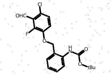 CC(C)(C)OC(=O)Nc1ccccc1COc1ccc(Cl)c(C=O)c1F